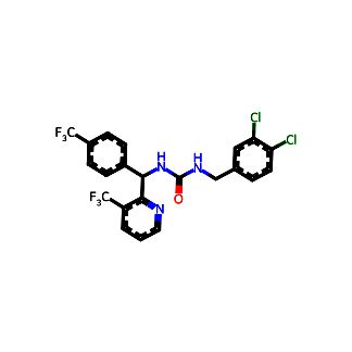 O=C(NCc1ccc(Cl)c(Cl)c1)NC(c1ccc(C(F)(F)F)cc1)c1ncccc1C(F)(F)F